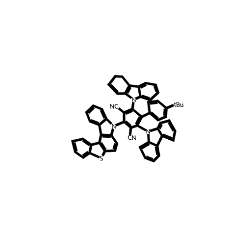 CC(C)(C)c1ccc(-c2c(-n3c4c(c5ccccc53)CCC=C4)c(C#N)c(-n3c4ccccc4c4c5c(ccc43)sc3ccccc35)c(C#N)c2-n2c3ccccc3c3ccccc32)cc1